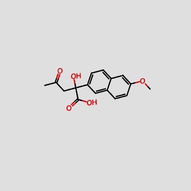 COc1ccc2cc(C(O)(CC(C)=O)C(=O)O)ccc2c1